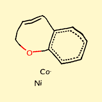 C1=Cc2ccccc2OC1.[Co].[Ni]